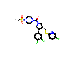 CS(=O)(=O)N1CCN(C(=O)N2C[C@H](CSc3ccc(Cl)cn3)[C@@H](c3ccc(Cl)c(Cl)c3)C2)CC1